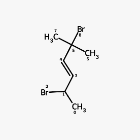 CC(Br)C=CC(C)(C)Br